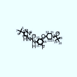 Cn1nc(C(C)(C)C)cc1NC(=O)Nc1cc(F)cc(OC2CCN(C(=O)C(C)(C)C)CC2)c1